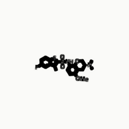 COc1ccc(NS(=O)(=O)c2sc3ccc(F)cc3c2C)c2c1C[C@@H](N(C)C)CO2